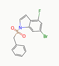 O=S(=O)(Cc1ccccc1)n1ccc2c(F)cc(Br)cc21